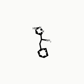 NC(Cc1ccccc1)c1c[nH]nn1